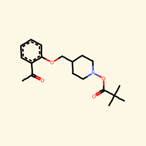 CC(=O)c1ccccc1OCC1CCN(OC(=O)C(C)(C)C)CC1